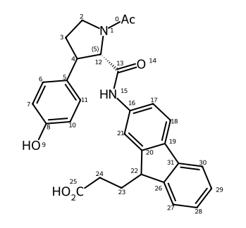 CC(=O)N1CCC(c2ccc(O)cc2)[C@H]1C(=O)Nc1ccc2c(c1)C(CCC(=O)O)c1ccccc1-2